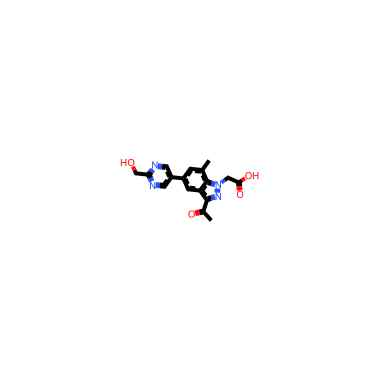 CC(=O)c1nn(CC(=O)O)c2c(C)cc(-c3cnc(CO)nc3)cc12